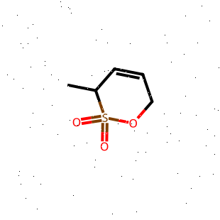 CC1C=CCOS1(=O)=O